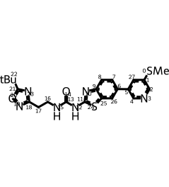 CSc1cncc(-c2ccc3nc(NC(=O)NCCc4noc(C(C)(C)C)n4)sc3c2)c1